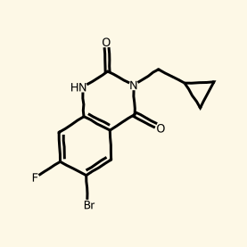 O=c1[nH]c2cc(F)c(Br)cc2c(=O)n1CC1CC1